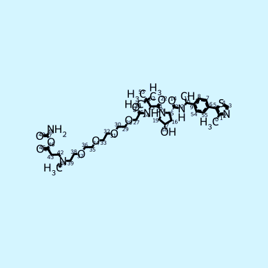 Cc1ncsc1-c1ccc([C@H](C)NC(=O)[C@@H]2C[C@@H](O)CN2C(=O)[C@@H](NC(=O)COCCOCCOCCOCCN(C)CCC(=O)OC(N)=O)C(C)(C)C)cc1